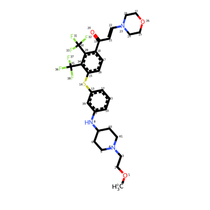 COCCN1CCC(Nc2cccc(Sc3ccc(C(=O)C=CN4CCOCC4)c(C(F)(F)F)c3C(F)(F)F)c2)CC1